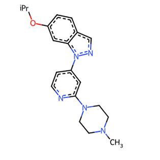 CC(C)Oc1ccc2cnn(-c3ccnc(N4CCN(C)CC4)c3)c2c1